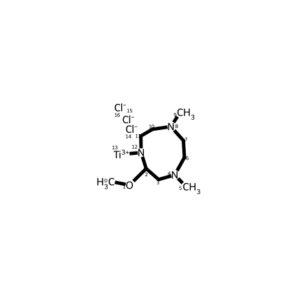 COC1CN(C)CCN(C)CC[N]1[Ti+3].[Cl-].[Cl-].[Cl-]